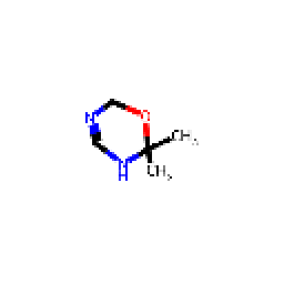 CC1(C)NC=NCO1